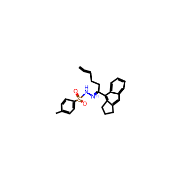 C=C=CCC/C(=N\NS(=O)(=O)c1ccc(C)cc1)c1c2c(cc3ccccc13)CCC2